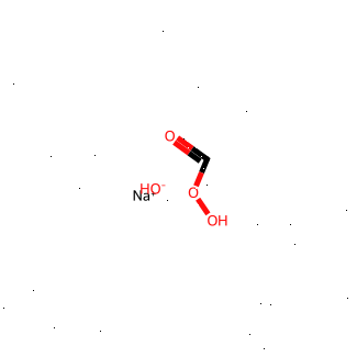 O=COO.[Na+].[OH-]